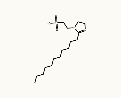 CCCCCCCCCCCC1=NCCN1CCS(=O)(=O)O